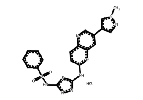 Cl.Cn1cc(-c2cnc3ccc(Nc4nnc(NS(=O)(=O)c5ccccc5)s4)nc3c2)cn1